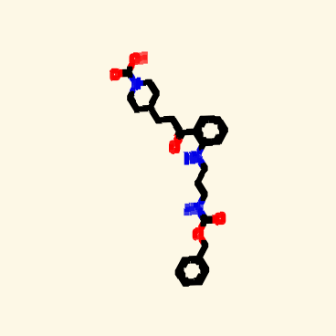 O=C(NCCCNc1ccccc1C(=O)CCC1CCN(C(=O)O)CC1)OCc1ccccc1